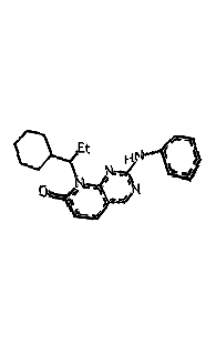 CCC(C1CCCCC1)n1c(=O)ccc2cnc(Nc3ccccc3)nc21